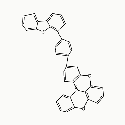 S=P12c3ccccc3Oc3cccc(c31)Oc1cc(-c3ccc(-c4cccc5c4sc4ccccc45)cc3)ccc12